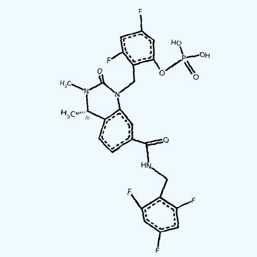 C[C@H]1c2ccc(C(=O)NCc3c(F)cc(F)cc3F)cc2N(Cc2c(F)cc(F)cc2OP(=O)(O)O)C(=O)N1C